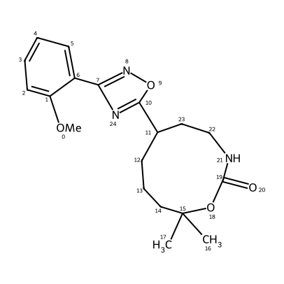 COc1ccccc1-c1noc(C2CCCC(C)(C)OC(=O)NCC2)n1